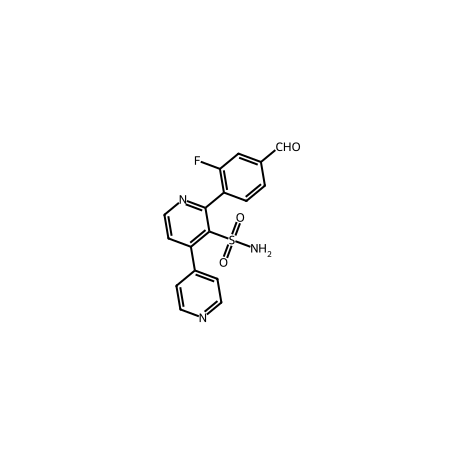 NS(=O)(=O)c1c(-c2ccncc2)ccnc1-c1ccc(C=O)cc1F